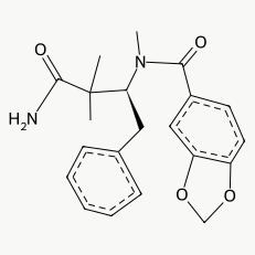 CN(C(=O)c1ccc2c(c1)OCO2)[C@@H](Cc1ccccc1)C(C)(C)C(N)=O